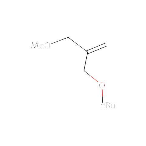 C=C(COC)COCCCC